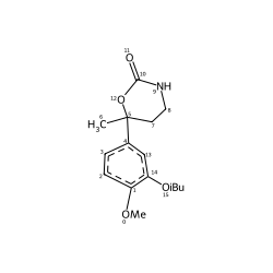 COc1ccc(C2(C)CCNC(=O)O2)cc1OCC(C)C